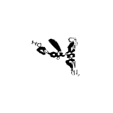 Cc1ccc(N2CCC[C@H](N(Cc3ccnc(C)c3)Cc3cn(C4CC4)c4cc(N5CC[C@@H](O)C5)ccc4c3=O)C2)cn1